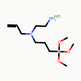 C=CCN(CCN)CCC[Si](OC)(OC)OC.Cl